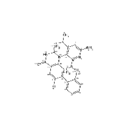 CC(C)c1nc(N)nc(C(C)C)c1-n1c(=O)[nH]c(=O)c2cc(Cl)c(-c3ccccc3F)nc21